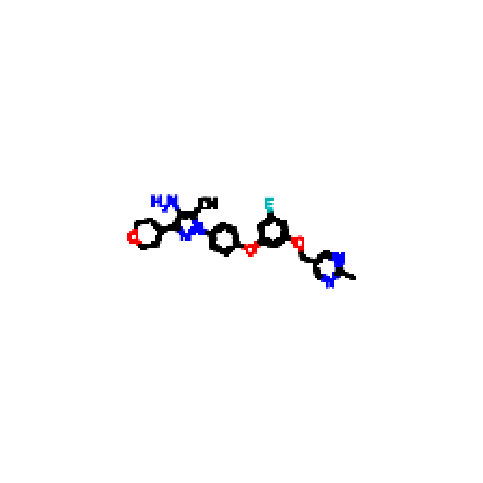 Cc1ncc(COc2cc(F)cc(Oc3ccc(-n4nc(C5CCOCC5)c(N)c4C#N)cc3)c2)cn1